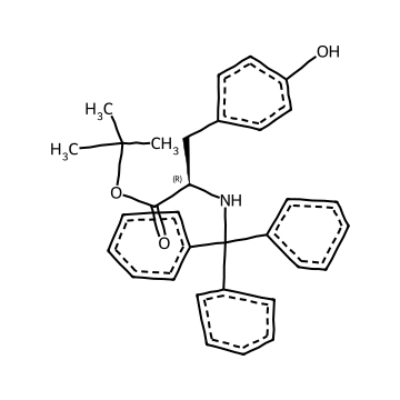 CC(C)(C)OC(=O)[C@@H](Cc1ccc(O)cc1)NC(c1ccccc1)(c1ccccc1)c1ccccc1